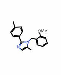 COc1ccccc1Cn1c(C)cnc1-c1ccc(C)cc1